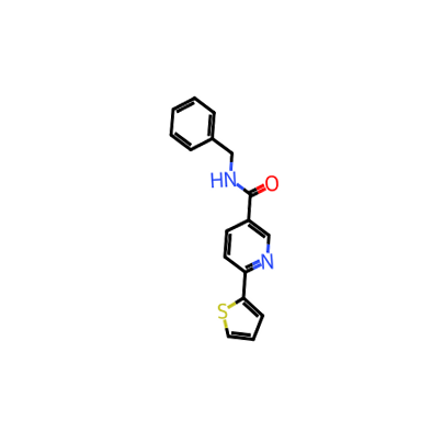 O=C(NCc1ccccc1)c1ccc(-c2cccs2)nc1